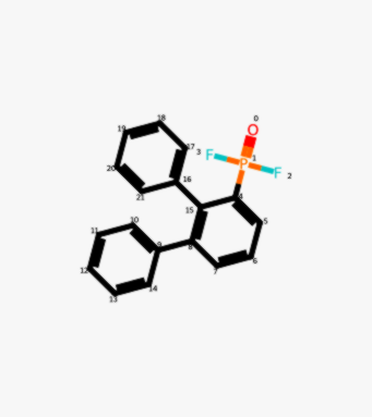 O=P(F)(F)c1cccc(-c2ccccc2)c1-c1ccccc1